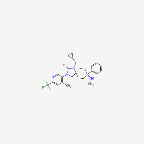 CN[C@]1(c2ccccc2)CC[C@]2(CC1)CN(c1cnc(C(F)(F)F)cc1C)C(=O)N2CC1CC1